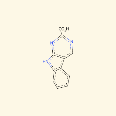 O=C(O)c1ncc2c(n1)[nH]c1ccccc12